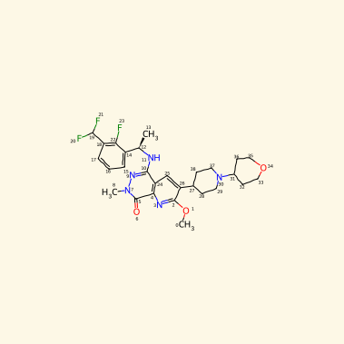 COc1nc2c(=O)n(C)nc(N[C@H](C)c3cccc(C(F)F)c3F)c2cc1C1CCN(C2CCOCC2)CC1